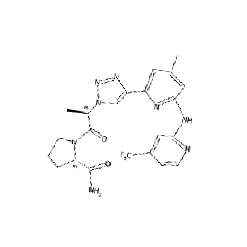 Cc1cc(Nc2cc(C(F)(F)F)ccn2)nc(-c2cn([C@H](C)C(=O)N3CCC[C@H]3C(N)=O)nn2)c1